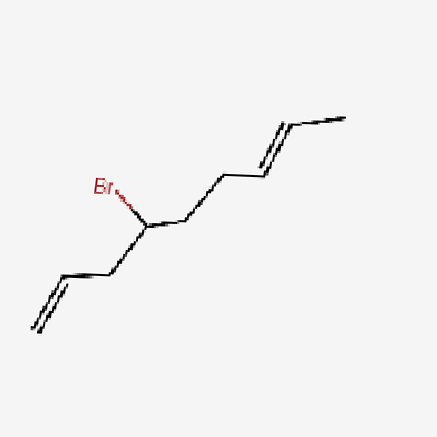 C=CCC(Br)CCC=CC